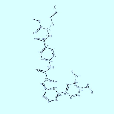 COC(=O)[C@H](CCSC)NC(=O)c1ccc(NC(=O)c2cc3nccc(-c4ccc(OC)c(OC)c4)n3n2)cc1